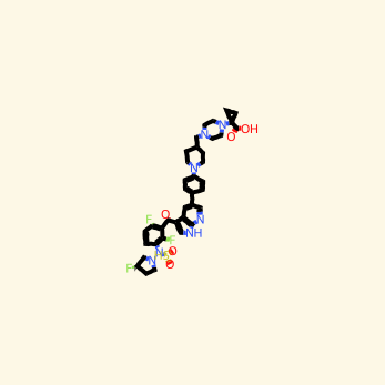 O=C(c1c(F)ccc(N(N2CC[C@@H](F)C2)[SH](=O)=O)c1F)c1c[nH]c2ncc(-c3ccc(N4CCC(CN5CCN(C6(C(=O)O)CC6)CC5)CC4)cc3)cc12